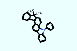 CC1(C)c2ccccc2-c2c1ccc1c2ccc2c3ccccc3n(-c3ccccc3)c12